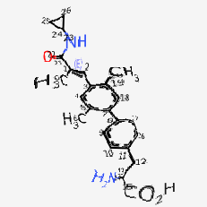 C/C(=C\c1cc(C)c(-c2ccc(CC(N)C(=O)O)cc2)cc1C)C(=O)NC1CC1